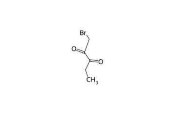 CCC(=O)C(=O)CBr